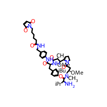 CC[C@H](C)[C@@H]([C@@H](CC(=O)N1CCCC1[C@H](OC)[C@@H](C)C(=O)NC(Cc1ccccc1)C(=O)Nc1ccc(CNC(=O)CCCCCN2C(=O)C=CC2=O)cc1)OC)N(C)C(=O)C(N)C(C)C